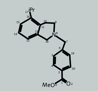 COC(=O)c1ccc(CN2CCc3c(cccc3C(C)C)C2)cc1